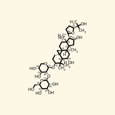 CC(C)(O)[C@@H]1CC[C@](C)([C@H]2[C@@H](O)C[C@@]3(C)[C@@H]4C[C@H](O)[C@H]5C(C)(C)[C@@H](O[C@@H]6OC[C@@H](O)[C@H](O)[C@H]6O[C@@H]6O[C@H](CO)[C@@H](O)[C@H](O)[C@H]6O)CC[C@@]56C[C@@]46CC[C@]23C)O1